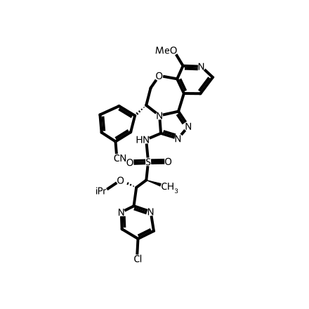 COc1nccc2c1OC[C@@H](c1cccc(C#N)c1)n1c(NS(=O)(=O)[C@@H](C)[C@@H](OC(C)C)c3ncc(Cl)cn3)nnc1-2